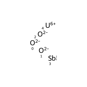 [O-2].[O-2].[O-2].[Sb].[U+6]